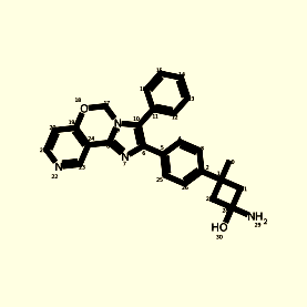 CC1(c2ccc(-c3nc4n(c3-c3ccccc3)COc3ccncc3-4)cc2)CC(N)(O)C1